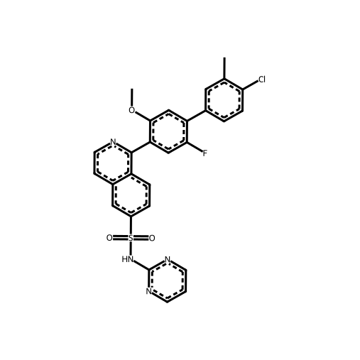 COc1cc(-c2ccc(Cl)c(C)c2)c(F)cc1-c1nccc2cc(S(=O)(=O)Nc3ncccn3)ccc12